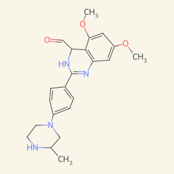 COc1cc2c(c(OC)c1)C(C=O)NC(c1ccc(N3CCNC(C)C3)cc1)=N2